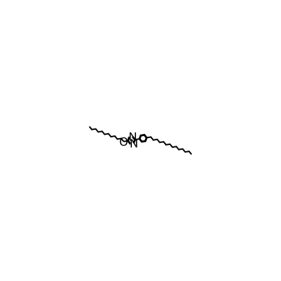 CCCCCCCCCCCCCCc1ccc(-c2ncc(OCCCCCCCCCCC)cn2)cc1